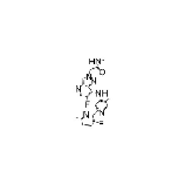 CNC(=O)Cn1cc2ncc(F)c(Nc3cc(-c4nc(C)ccc4F)ncc3C)c2n1